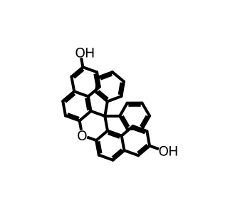 Oc1ccc2c3c(ccc2c1)Oc1ccc2cc(O)ccc2c1C3(c1ccccc1)c1ccccc1